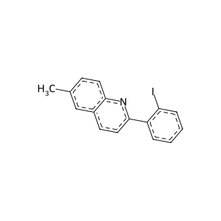 Cc1ccc2nc(-c3ccccc3I)ccc2c1